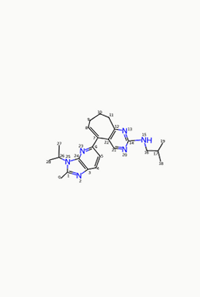 Cc1nc2ccc(C3=CCCCc4nc(NCC(C)C)ncc43)nc2n1C(C)C